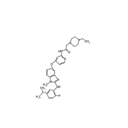 CCN1CCN(CC(=O)Nc2cc(Oc3ccc4c(c3)nc(Nc3cc(C(C)C)ccc3F)n4C)ccn2)CC1